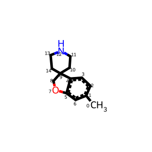 Cc1ccc2c(c1)OCC21CCNCC1